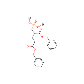 CCOP(=O)(CC(CCC(=O)OCc1ccccc1)C(=O)OCc1ccccc1)OCC